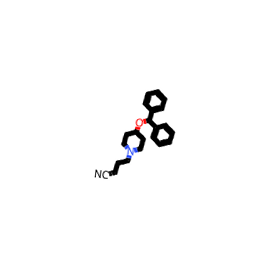 N#CCCCN1CCC(OC(c2ccccc2)c2ccccc2)CC1